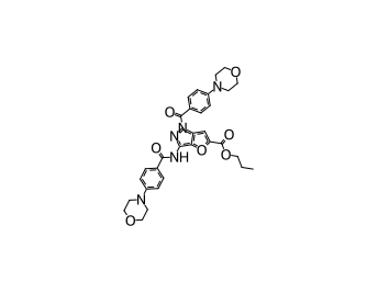 CCCOC(=O)c1cc2c(o1)c(NC(=O)c1ccc(N3CCOCC3)cc1)nn2C(=O)c1ccc(N2CCOCC2)cc1